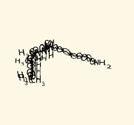 Cn1cc(NC(=O)c2nc(NC(=O)CCNC(=O)OC(C)(C)C)cn2C)cc1C(=O)NCCC(=O)Nc1cn(C)c(C(=O)NCCOCCOCCOCCOCCOCCOCCOCCOCCN)n1